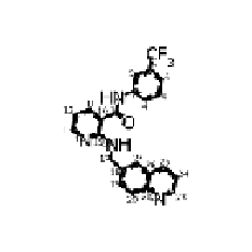 O=C(Nc1cccc(C(F)(F)F)c1)c1cccnc1NCc1ccc2ncccc2c1